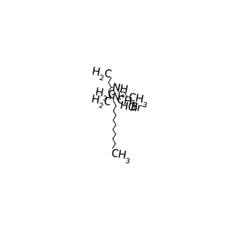 C=CCC(CC=C)NC(CCC)[N+](C)(C)CCCCCCCCCCCC.Cl.[Br-]